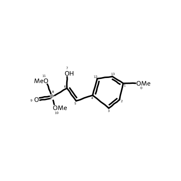 COc1ccc(/C=C(\O)P(=O)(OC)OC)cc1